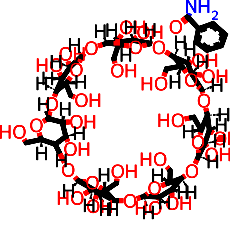 NC(=O)c1ccccc1.OC[C@H]1O[C@@H]2O[C@H]3[C@H](O)[C@@H](O)[C@@H](O[C@H]4[C@H](O)[C@@H](O)[C@@H](O[C@H]5[C@H](O)[C@@H](O)[C@@H](O[C@H]6[C@H](O)[C@@H](O)[C@@H](O[C@H]7[C@H](O)[C@@H](O)[C@@H](O[C@H]8[C@H](O)[C@@H](O)[C@@H](O[C@H]1[C@H](O)[C@H]2O)O[C@@H]8CO)O[C@@H]7CO)O[C@@H]6CO)O[C@@H]5CO)O[C@@H]4CO)O[C@@H]3CO